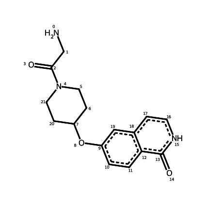 NCC(=O)N1CCC(Oc2ccc3c(=O)[nH]ccc3c2)CC1